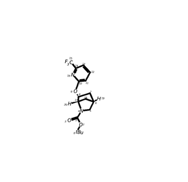 CC(C)(C)OC(=O)N1C[C@H]2C[C@@H](Oc3cccc(C(F)(F)F)n3)[C@@H]1C2